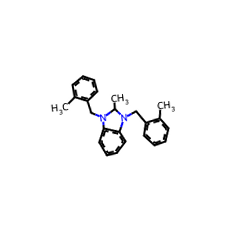 Cc1ccccc1CN1c2ccccc2N(Cc2ccccc2C)C1C